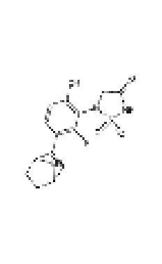 O=C1CN(c2c(O)ccc(C3=CC4CCC3N4)c2F)S(=O)(=O)N1